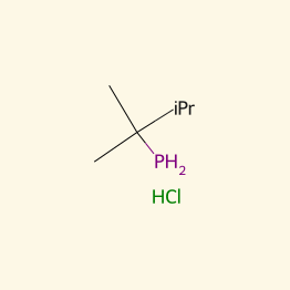 CC(C)C(C)(C)P.Cl